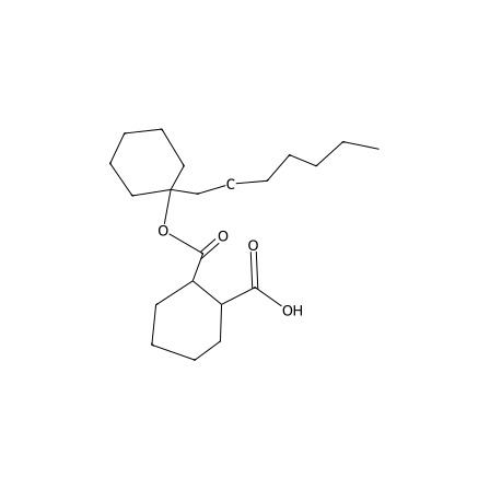 CCCCCCCC1(OC(=O)C2CCCCC2C(=O)O)CCCCC1